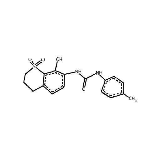 Cc1ccc(NC(=O)Nc2ccc3c(c2O)S(=O)(=O)CCC3)cc1